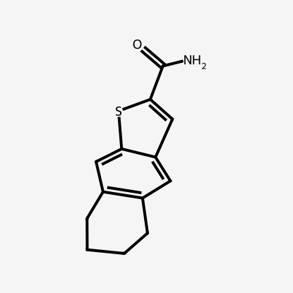 NC(=O)c1cc2cc3c(cc2s1)CCCC3